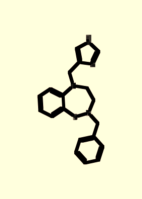 c1ccc(CN2CCN(Cc3c[nH]cn3)c3ccccc3S2)cc1